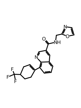 O=C(NCc1ncco1)c1cnc2c(C3=CCC(C(F)(F)F)CC3)cccc2c1